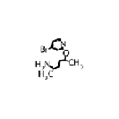 C[C@@H](N)CC[C@H](C)Oc1cc(Br)ccn1